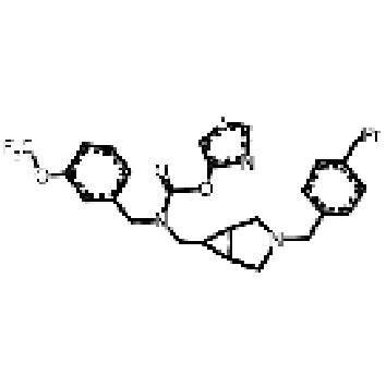 CC(C)c1ccc(CN2CC3C(C2)C3CN(Cc2cccc(OC(F)(F)F)c2)C(=O)Oc2cscn2)cc1